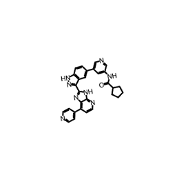 O=C(Nc1cncc(-c2ccc3[nH]nc(-c4nc5c(-c6ccncc6)ccnc5[nH]4)c3c2)c1)C1CCCC1